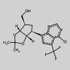 CC1(C)O[C@@H]2[C@@H](CO)C[C@@H](n3cc(C(F)(F)F)c4c(Cl)ncnc43)[C@@H]2O1